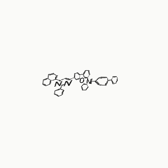 c1ccc(-c2ccc(N(c3ccccc3)c3cccc4c3oc3cc(-c5cc(-c6cccc7ccccc67)nc(-c6ccccc6)n5)ccc34)cc2)cc1